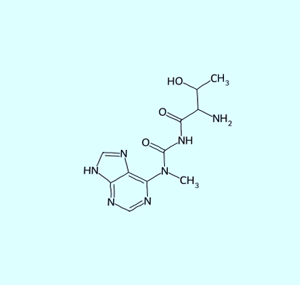 CC(O)C(N)C(=O)NC(=O)N(C)c1ncnc2[nH]cnc12